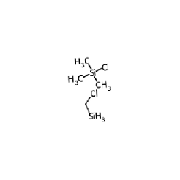 C[Si](C)(C)Cl.[SiH3]CCl